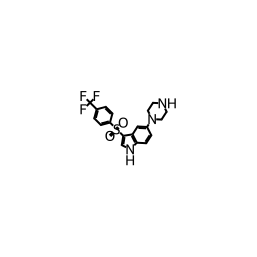 O=S(=O)(c1ccc(C(F)(F)F)cc1)c1c[nH]c2ccc(N3CCNCC3)cc12